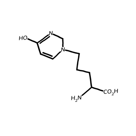 NC(CCCN1C=CC(O)=NC1)C(=O)O